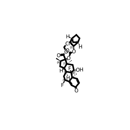 C[C@@H]1C[C@H]2[C@@H]3C[C@H](F)C4=CC(=O)C=C[C@]4(C)[C@@]3(F)[C@@H](O)C[C@]2(C)[C@@]1(OC(=O)O[C@H]1C[C@H]2CC[C@@H]1C2)C(=O)OCC#N